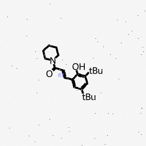 CC(C)(C)c1cc(/C=C/C(=O)N2CCCCC2)c(O)c(C(C)(C)C)c1